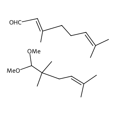 CC(C)=CCC/C(C)=C/C=O.COC(OC)C(C)(C)CC=C(C)C